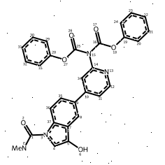 CNC(=O)n1cc(O)c2cc(-c3ccnc(N(C(=O)Oc4ccccc4)C(=O)Oc4ccccc4)c3)ccc21